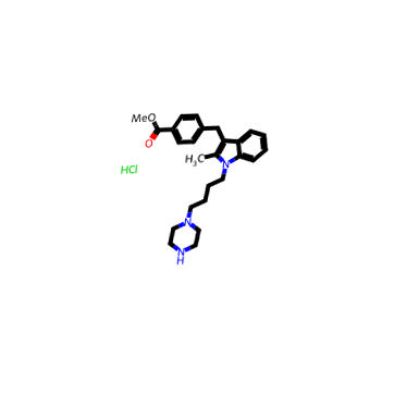 COC(=O)c1ccc(Cc2c(C)n(CCCCN3CCNCC3)c3ccccc23)cc1.Cl